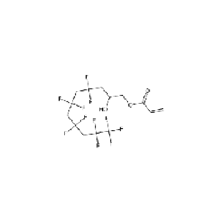 C=CC(=O)OCC(O)CC(F)(F)CC(F)(F)CC(F)(F)CC(F)(F)C(F)(F)F